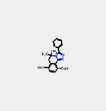 COc1ccc(OC)c2c1CC(C)(C)n1c(-c3ccccc3)nnc1-2